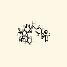 CNS(=O)(=O)c1ccc(Nc2ncc3c(n2)N([C@H]2CCC[C@@]2(C)O)C(=O)C32CC2)cc1